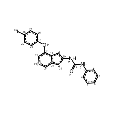 O=C(Nc1ccccc1)Nc1cc2c(Oc3ccc(I)cc3)cncc2s1